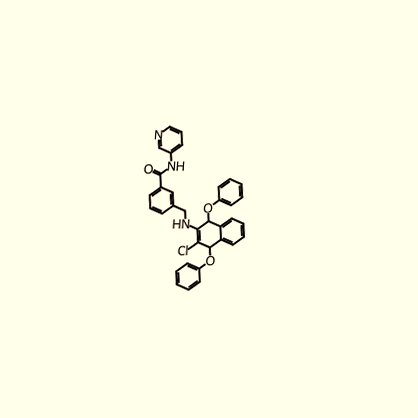 O=C(Nc1cccnc1)c1cccc(CNC2=C(Cl)C(Oc3ccccc3)c3ccccc3C2Oc2ccccc2)c1